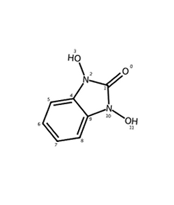 O=c1n(O)c2ccccc2n1O